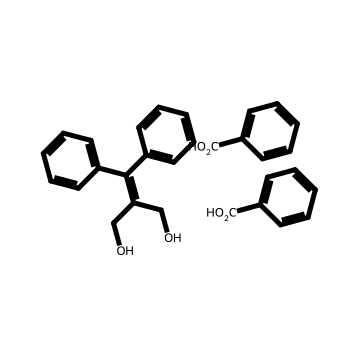 O=C(O)c1ccccc1.O=C(O)c1ccccc1.OCC(CO)=C(c1ccccc1)c1ccccc1